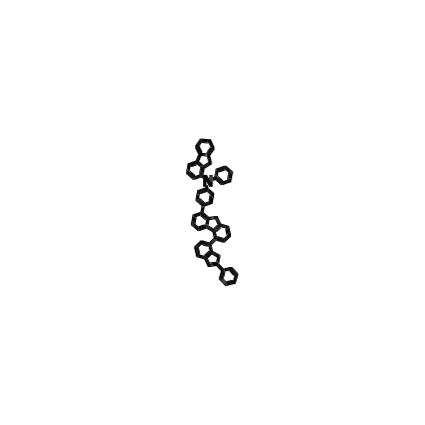 C1=C(c2ccccc2)Cc2c1cccc2-c1cccc2c1-c1cccc(-c3ccc(N(c4ccccc4)c4cccc5c4Cc4ccccc4-5)cc3)c1C2